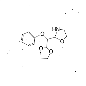 [c]1ccc(OC(C2NCCO2)C2OCCO2)cc1